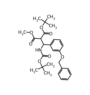 COC(=O)C(C(=O)OC(C)(C)C)C(NC(=O)OC(C)(C)C)c1cccc(OCc2ccccc2)c1